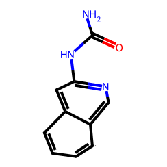 NC(=O)Nc1cc2ccc[c]c2cn1